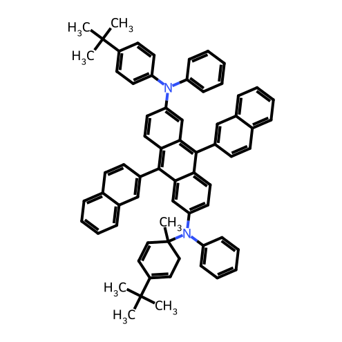 CC(C)(C)C1=CCC(C)(N(c2ccccc2)c2ccc3c(-c4ccc5ccccc5c4)c4cc(N(c5ccccc5)c5ccc(C(C)(C)C)cc5)ccc4c(-c4ccc5ccccc5c4)c3c2)C=C1